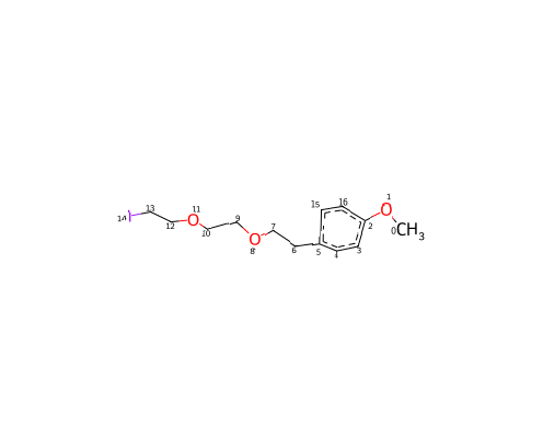 COc1ccc(CCOCCOCCI)cc1